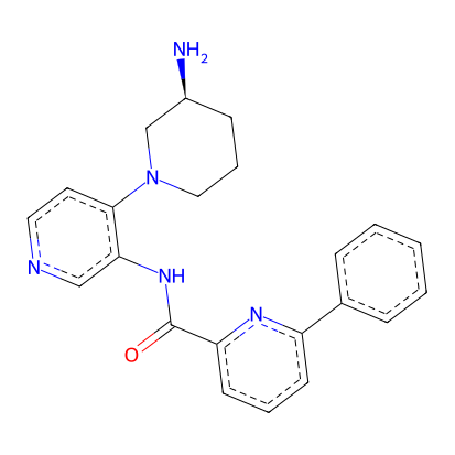 N[C@H]1CCCN(c2ccncc2NC(=O)c2cccc(-c3ccccc3)n2)C1